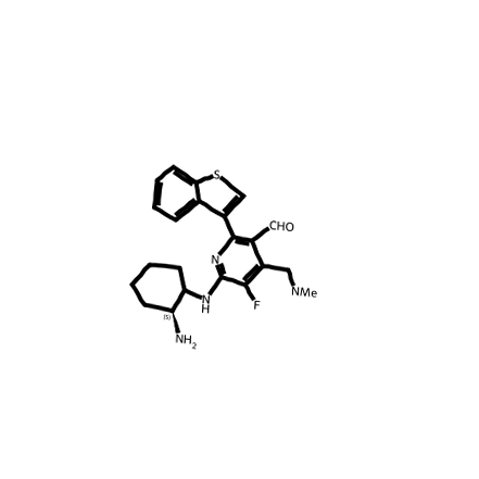 CNCc1c(F)c(NC2CCCC[C@@H]2N)nc(-c2csc3ccccc23)c1C=O